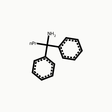 CCCC(N)(c1ccccc1)c1ccccc1